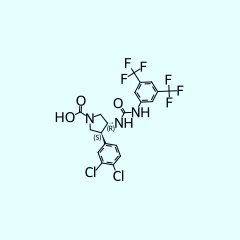 O=C(Nc1cc(C(F)(F)F)cc(C(F)(F)F)c1)N[C@H]1CN(C(=O)O)C[C@@H]1c1ccc(Cl)c(Cl)c1